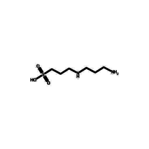 NCCCNCCCS(=O)(=O)O